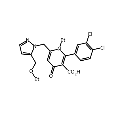 CCOCc1ccnn1Cc1cc(=O)c(C(=O)O)c(-c2ccc(Cl)c(Cl)c2)n1CC